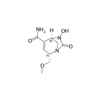 COC[C@@H]1C=C(C(N)=O)[C@@H]2CN1C(=O)N2O